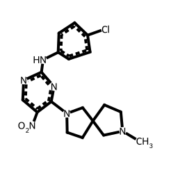 CN1CCC2(CCN(c3nc(Nc4ccc(Cl)cc4)ncc3[N+](=O)[O-])C2)C1